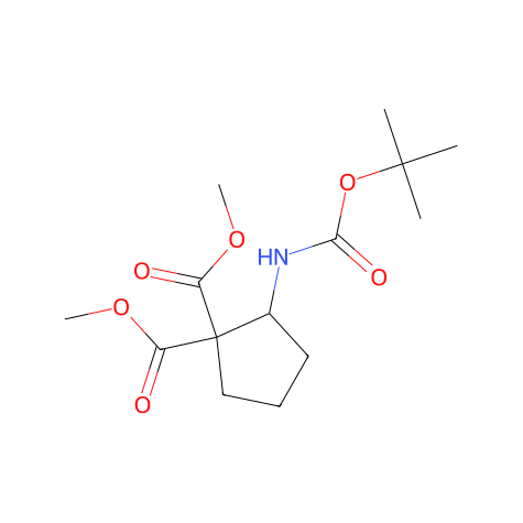 COC(=O)C1(C(=O)OC)CCCC1NC(=O)OC(C)(C)C